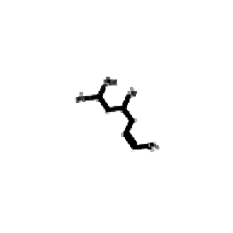 C/C=C\CC(CC(CCC)SC)C(C)C